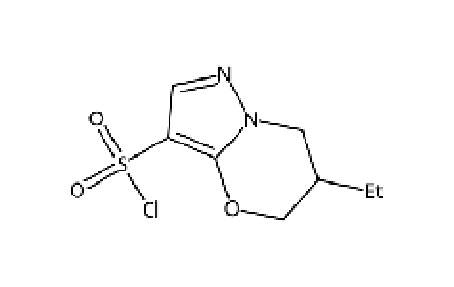 CCC1COc2c(S(=O)(=O)Cl)cnn2C1